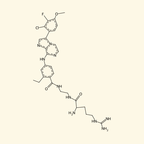 CCc1cc(Nc2nccn3c(-c4ccc(OC)c(F)c4Cl)cnc23)ccc1C(=O)NCCNC(=O)C(N)CCCNC(=N)N